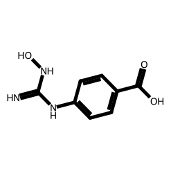 N=C(NO)Nc1ccc(C(=O)O)cc1